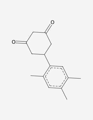 Cc1cc(C)c(C2CC(=O)CC(=O)C2)cc1C